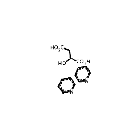 O=C(O)C[C@H](O)C(=O)O.c1ccncc1.c1ccncc1